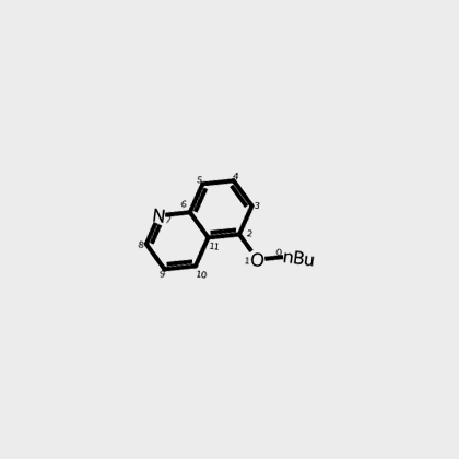 [CH2]CCCOc1cccc2ncccc12